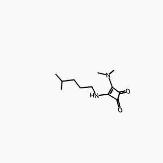 CC(C)CCCNc1c(N(C)C)c(=O)c1=O